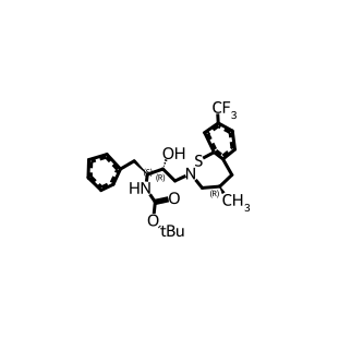 C[C@@H]1Cc2ccc(C(F)(F)F)cc2SN(C[C@@H](O)[C@H](Cc2ccccc2)NC(=O)OC(C)(C)C)C1